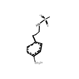 CCOC(=O)c1ccc(CCNS(C)(=O)=O)cc1